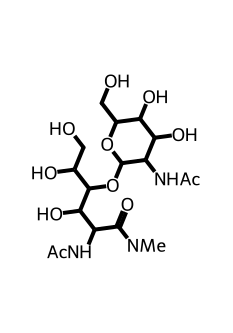 CNC(=O)C(NC(C)=O)C(O)C(OC1OC(CO)C(O)C(O)C1NC(C)=O)C(O)CO